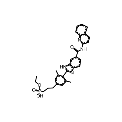 CCOP(=O)(O)CCCc1cc(C)c(-c2nc3ccc(C(=O)Nc4ccc5ccccc5n4)cc3[nH]2)c(C)c1